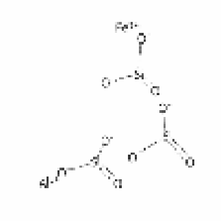 O=[Si]([O-])[O-].O=[Si]([O-])[O-].O=[Si]([O-])[O-].[Al+3].[Fe+3]